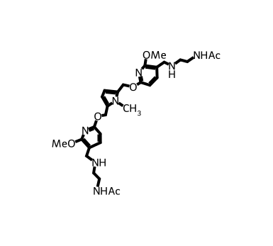 COc1nc(OCc2ccc(COc3ccc(CNCCNC(C)=O)c(OC)n3)n2C)ccc1CNCCNC(C)=O